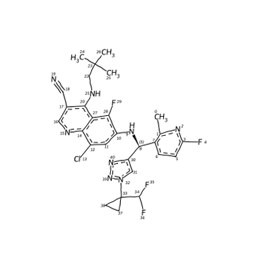 Cc1nc(F)ccc1[C@H](Nc1cc(Cl)c2ncc(C#N)c(NCC(C)(C)C)c2c1F)c1cn(C2(C(F)F)CC2)nn1